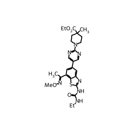 CCNC(=O)Nc1nc2cc(-c3cnc(N4CCC(C)(C(=O)OCC)CC4)nc3)cc(C(C)=NOC)c2s1